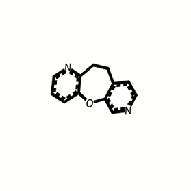 c1cnc2c(c1)Oc1cnccc1CC2